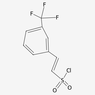 O=S(=O)(Cl)/C=C/c1cccc(C(F)(F)F)c1